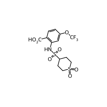 O=C(O)c1ccc(OC(F)(F)F)cc1NS(=O)(=O)C1CCS(=O)(=O)CC1